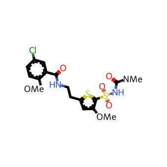 CNC(=O)NS(=O)(=O)c1sc(CCNC(=O)c2cc(Cl)ccc2OC)cc1OC